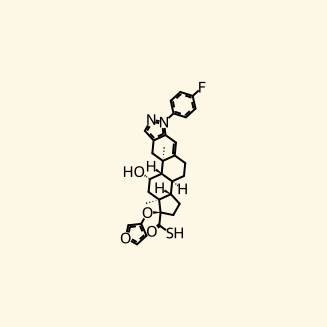 C[C@]12Cc3cnn(-c4ccc(F)cc4)c3C=C1CC[C@@H]1[C@@H]2[C@@H](O)C[C@@]2(C)[C@H]1CC[C@]2(Oc1ccoc1)C(=O)S